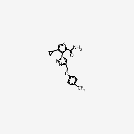 NC(=O)c1scc(C2CC2)c1-n1cc(COc2ccc(C(F)(F)F)cc2)nn1